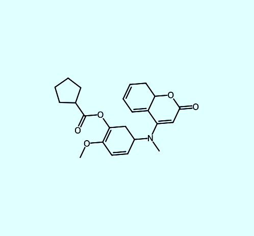 COC1=C(OC(=O)C2CCCC2)CC(N(C)C2=CC(=O)OC3CC=CC=C23)C=C1